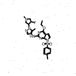 CCOc1nc(Nc2cnn(C3CN(C)CC3F)c2C)nc2c1ccn2S(=O)(=O)c1ccc(C)cc1